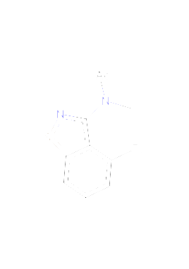 CCc1cccc2snc(N(C)C(C)=O)c12